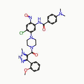 COc1ccccc1-c1nnn(C)c1C(=O)N1CCN(c2cc(NC(=O)c3ccc(N(C)C)cc3)c(N=O)cc2Cl)CC1